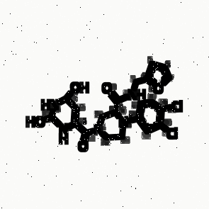 O=C(NCc1ccco1)[C@@H]1CN(C(=O)C2=CC(O)NC(O)N2)CCN1c1ccc(Cl)c(Cl)c1